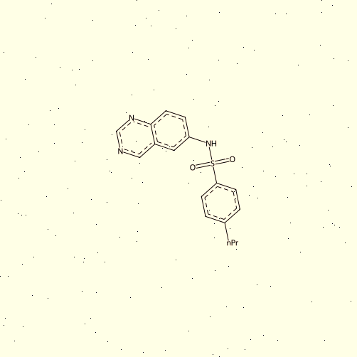 CCCc1ccc(S(=O)(=O)Nc2ccc3ncncc3c2)cc1